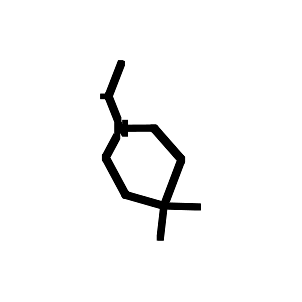 C[CH]N1CCC(C)(C)CC1